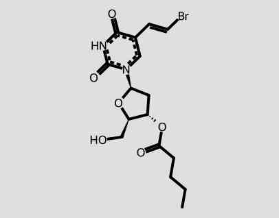 CCCCC(=O)O[C@H]1C[C@H](n2cc(/C=C/Br)c(=O)[nH]c2=O)O[C@@H]1CO